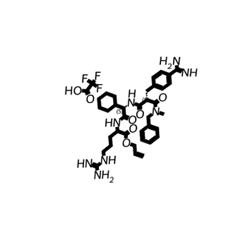 C=CCOC(=O)C(CCCNC(=N)N)NC(=O)[C@@H](NC(=O)[C@H](Cc1ccc(C(=N)N)cc1)C(=O)N(C)Cc1ccccc1)C1CCCCC1.O=C(O)C(F)(F)F